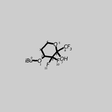 CCC(C)OC1CCOC(O)(C(F)(F)F)C1(F)F